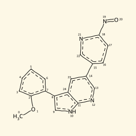 COc1ccccc1-c1c[nH]c2ncc(-c3ccc(N=O)nc3)cc12